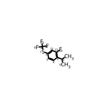 CC(C)c1ccc(SC(F)(F)F)cc1F